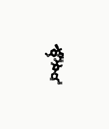 C#CC(C)(c1ccc(OC)cc1)c1csc(NC(=O)c2c(F)cc(N3CCNC(CO)C3)cc2F)n1